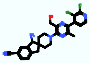 Cc1nc(N2CCC3(CC2)Cc2ccc(C#N)cc2[C@H]3N)c(CO)nc1-c1ccnc(Cl)c1Cl